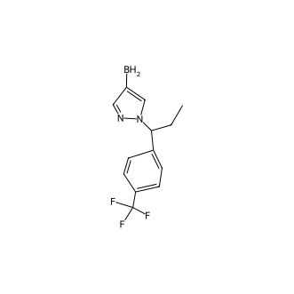 Bc1cnn(C(CC)c2ccc(C(F)(F)F)cc2)c1